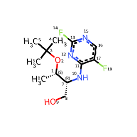 C[C@H](OC(C)(C)C)[C@@H](CO)Nc1nc(F)ncc1F